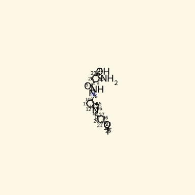 Nc1cc(C(=O)N/N=C/c2cccc3c2ccn3Cc2ccc(OCF)cc2)ccc1O